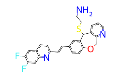 NCCSC1c2cc(/C=C/c3ccc4cc(F)c(F)cc4n3)ccc2OCc2ncccc21